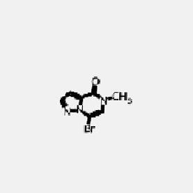 Cn1cc(Br)n2nccc2c1=O